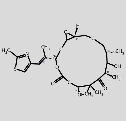 C/C(=C\c1csc(C)n1)[C@@H]1CC2O[C@@H]2CCC[C@H](C)C(O)[C@@H](C)C(=O)C(C)(C)[C@@H](O)CC(=O)O1